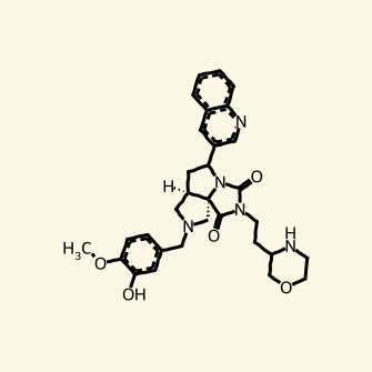 COc1ccc(CN2C[C@H]3CC(c4cnc5ccccc5c4)N4C(=O)N(CCC5COCCN5)C(=O)[C@@]34C2)cc1O